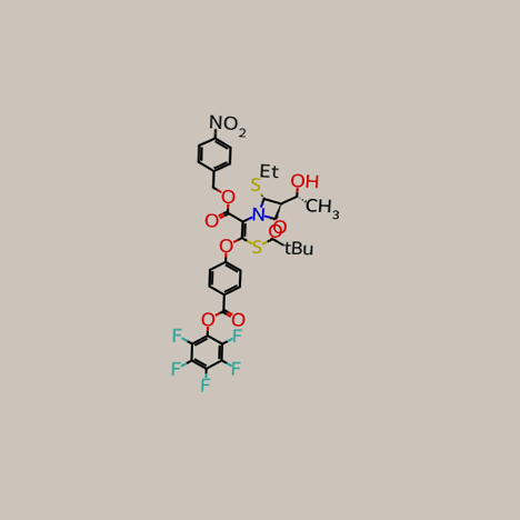 CCS[C@@H]1[C@@H]([C@@H](C)O)C(=O)N1C(C(=O)OCc1ccc([N+](=O)[O-])cc1)=C(Oc1ccc(C(=O)Oc2c(F)c(F)c(F)c(F)c2F)cc1)SC(=O)C(C)(C)C